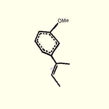 C/C=C(\C)c1cccc(OC)c1